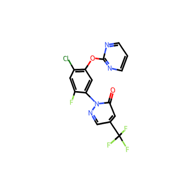 O=c1cc(C(F)(F)F)cnn1-c1cc(Oc2ncccn2)c(Cl)cc1F